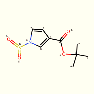 CC(C)(C)OC(=O)c1ccn([SH](=O)=O)c1